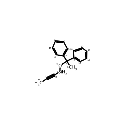 CC#C[SiH2]OC(C)(c1ccccc1)c1ccccc1